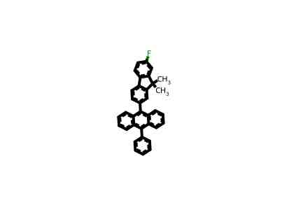 CC1(C)c2cc(F)ccc2-c2ccc(-c3c4ccccc4c(-c4ccccc4)c4ccccc34)cc21